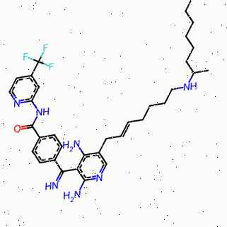 CCCCCCC(C)NCCCC/C=C/Cc1cnc(N)c(C(=N)c2ccc(C(=O)Nc3cc(C(F)(F)F)ccn3)cc2)c1N